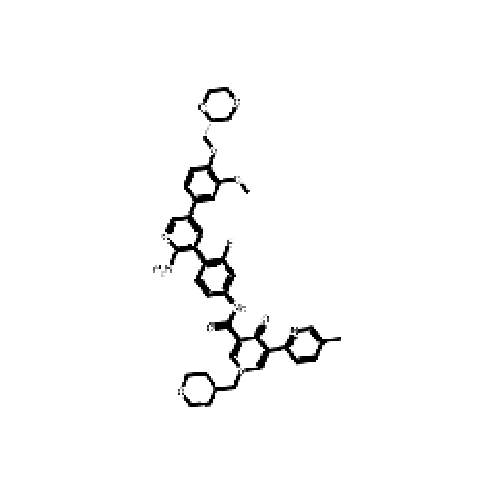 COc1cc(-c2cnc(N)c(-c3ccc(NC(=O)c4cn(CC5CCOCC5)cc(-c5ccc(C)cn5)c4=O)cc3F)c2)ccc1OC[C@H]1COCCO1